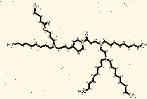 CCCCCCCCCN(CCCOC(=O)CCCC)CCCC1CCN(C(=O)CCN(CCCCCCCCC)CCN(CCCCCCCCC)CCCCCCCCC)CC1